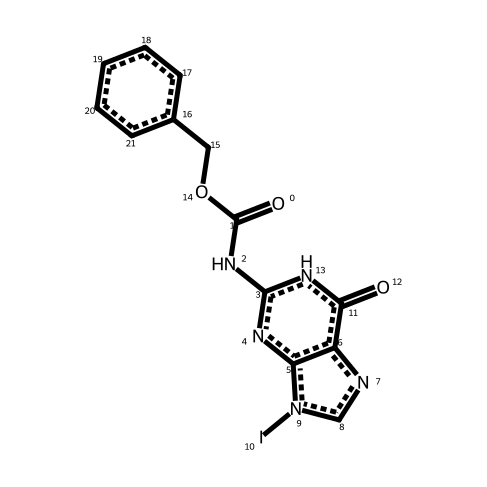 O=C(Nc1nc2c(ncn2I)c(=O)[nH]1)OCc1ccccc1